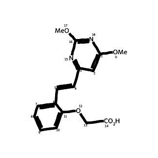 COc1cc(C=Cc2ccccc2OCC(=O)O)nc(OC)n1